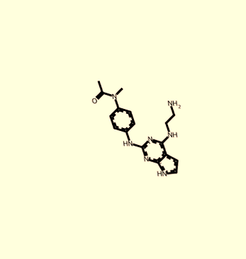 CC(=O)N(C)c1ccc(Nc2nc(NCCN)c3cc[nH]c3n2)cc1